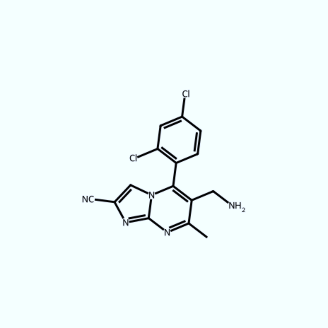 Cc1nc2nc(C#N)cn2c(-c2ccc(Cl)cc2Cl)c1CN